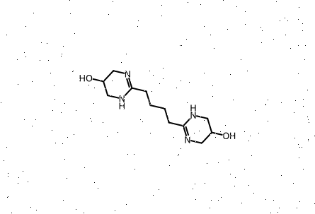 OC1CN=C(CCCCC2=NCC(O)CN2)NC1